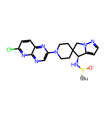 CC(C)(C)[S@@+]([O-])N[C@@H]1c2ccnn2CC12CCN(c1cnc3nc(Cl)ccc3n1)CC2